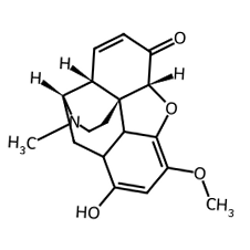 COC1=C2O[C@H]3C(=O)C=C[C@H]4[C@H]5CC(C(O)=C1)C2[C@@]34CCN5C